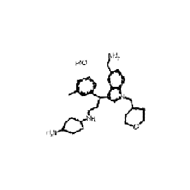 Cc1cccc(C(CCNC2CCC(N)CC2)c2cn(CC3CCOCC3)c3ccc(CN)cc23)c1.Cl